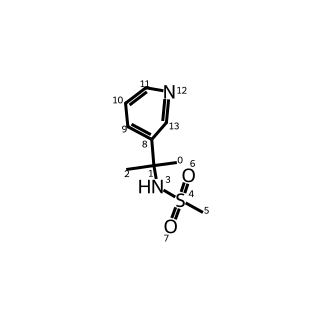 CC(C)(NS(C)(=O)=O)c1cccnc1